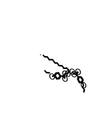 [CH2]CCCCCCCCCC[C](OOC(=O)c1ccc(OCCC)cc1)OOC(=O)c1ccc(OCCC)cc1